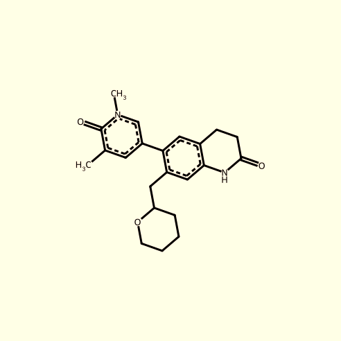 Cc1cc(-c2cc3c(cc2CC2CCCCO2)NC(=O)CC3)cn(C)c1=O